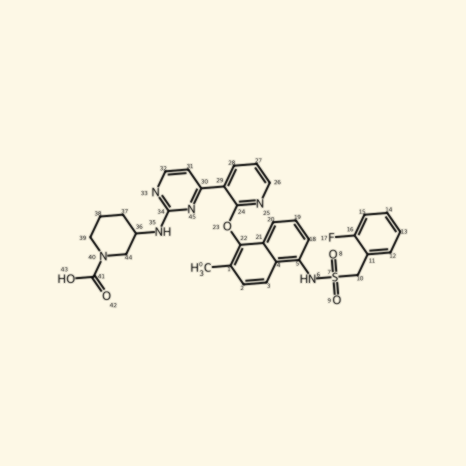 Cc1ccc2c(NS(=O)(=O)Cc3ccccc3F)cccc2c1Oc1ncccc1-c1ccnc(NC2CCCN(C(=O)O)C2)n1